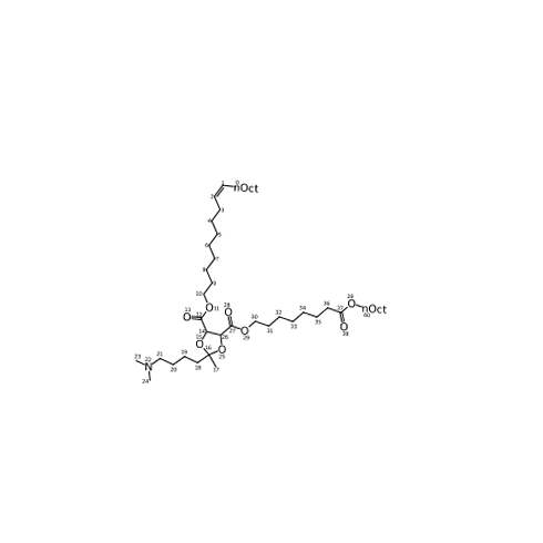 CCCCCCCC/C=C\CCCCCCCCOC(=O)C1OC(C)(CCCCN(C)C)OC1C(=O)OCCCCCCCC(=O)OCCCCCCCC